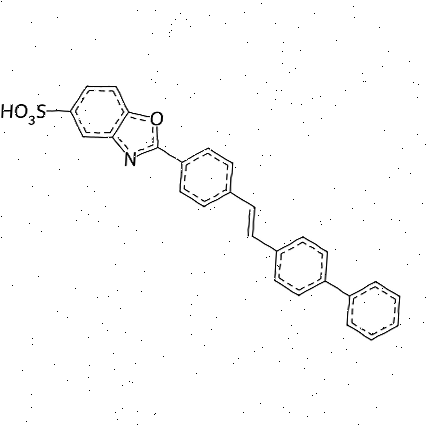 O=S(=O)(O)c1ccc2oc(-c3ccc(C=Cc4ccc(-c5ccccc5)cc4)cc3)nc2c1